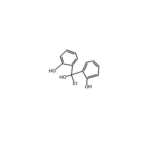 CCC(O)(c1ccccc1O)c1ccccc1O